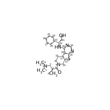 C=C(CN(C)C)C(=O)N1CCc2c(sc3ncnc(N[C@H](CO)c4ccccc4)c23)C1